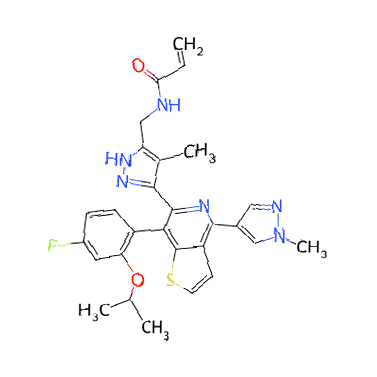 C=CC(=O)NCc1[nH]nc(-c2nc(-c3cnn(C)c3)c3ccsc3c2-c2ccc(F)cc2OC(C)C)c1C